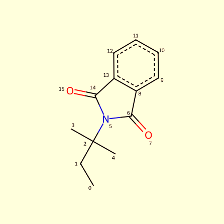 CCC(C)(C)N1C(=O)c2ccccc2C1=O